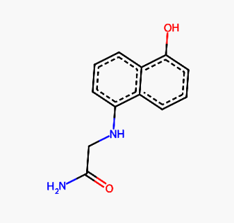 NC(=O)CNc1cccc2c(O)cccc12